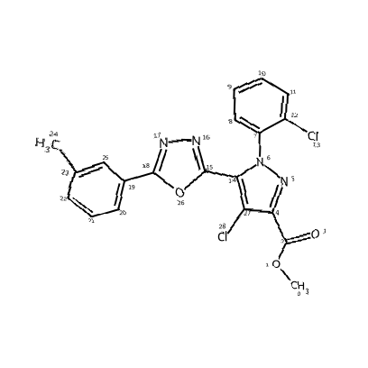 COC(=O)c1nn(-c2ccccc2Cl)c(-c2nnc(-c3cccc(C)c3)o2)c1Cl